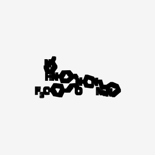 Cc1cc(Nc2ccc(CN(C(=O)C=Cc3ccc(C(F)(F)F)cc3)C3CCN(Cc4ncn5ccccc45)CC3)cc2)ccn1